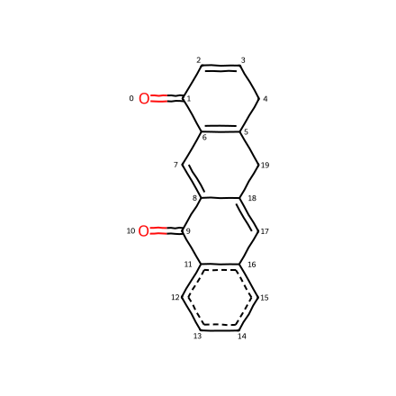 O=C1C=CCC2=C1C=C1C(=O)c3ccccc3C=C1C2